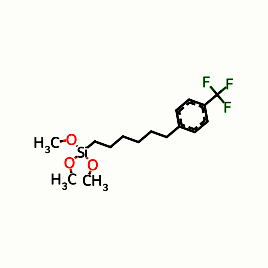 CO[Si](CCCCCCc1ccc(C(F)(F)F)cc1)(OC)OC